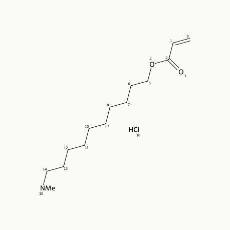 C=CC(=O)OCCCCCCCCCCNC.Cl